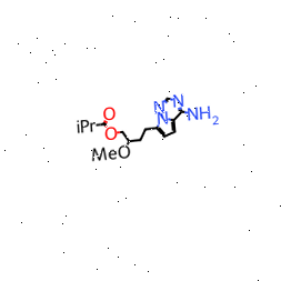 COC(CCc1ccc2c(N)ncnn12)COC(=O)C(C)C